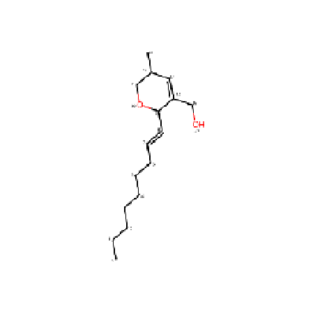 CCCCCCCC=CC1OCC(C)C=C1CO